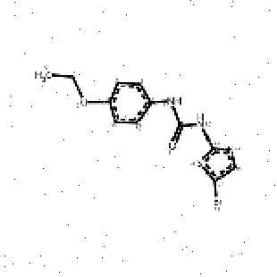 CCOc1ccc(NC(=O)Nc2ncc(Br)s2)cc1